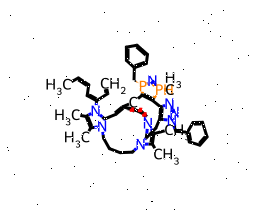 C=C/C(=C\C=C/C)N1C(C)=C(C)N2CCCCN3C(C)=C(C)N4c5ccccc5/C(=C/C21)CC1=C(c2nnn(Cc5ccccc5)c2CC34)[PH](C)=N[P@@]1Cc1ccccc1